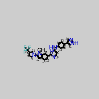 Cn1c(N2CCC(C(F)(F)F)C2)cc2ccc(-c3nccc(Nc4ccc(-c5cn[nH]c5)cc4)n3)cc21